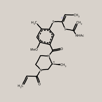 C=CC(=O)N1CCN(C(=O)c2cc(S/C(=C/C)SC(=C)NC(C)=O)c(C)cc2OC)[C@@H](C)C1